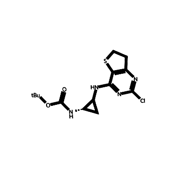 CC(C)(C)OC(=O)N[C@H]1CC1Nc1nc(Cl)nc2c1SCC2